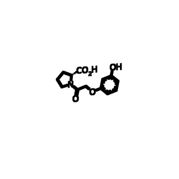 O=C(O)[C@H]1CCCN1C(=O)COc1cccc(O)c1